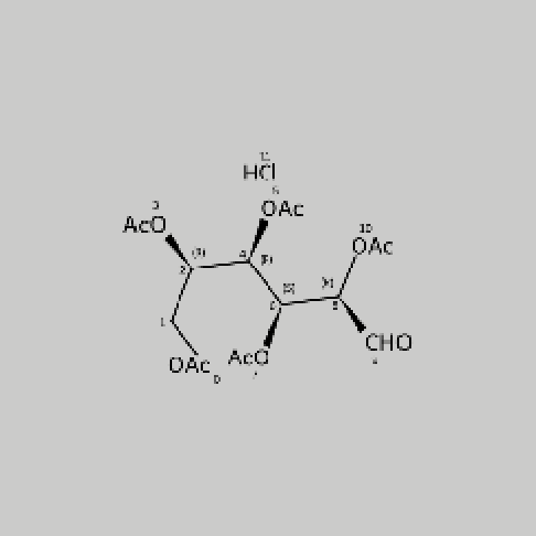 CC(=O)OC[C@@H](OC(C)=O)[C@@H](OC(C)=O)[C@H](OC(C)=O)[C@H](C=O)OC(C)=O.Cl